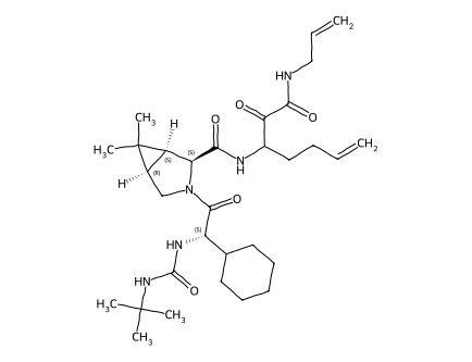 C=CCCC(NC(=O)[C@@H]1[C@H]2[C@@H](CN1C(=O)[C@@H](NC(=O)NC(C)(C)C)C1CCCCC1)C2(C)C)C(=O)C(=O)NCC=C